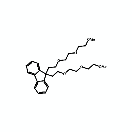 COCCOCCOCCC1(CCOCCOCCOC)c2cc[c]cc2-c2ccccc21